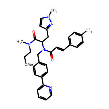 COCCN(C)C(=O)C(Cc1ccn(C)n1)N(Cc1ccc(-c2ccccn2)cc1)C(=O)/C=C/c1ccc(C(F)(F)F)cc1